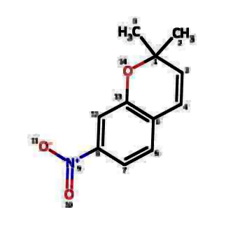 CC1(C)C=Cc2ccc([N+](=O)[O-])cc2O1